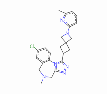 Cc1cccc(N2CC3(CC(c4nnc5n4-c4ccc(Cl)cc4CN(C)C5)C3)C2)n1